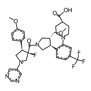 COC[C@H]1CN(C(=O)[C@]2(F)CN(c3cncnc3)C[C@H]2c2ccc(OC)cc2)C[C@@H]1c1ccc(C(F)(F)F)cc1N1CCC(C(=O)O)CC1